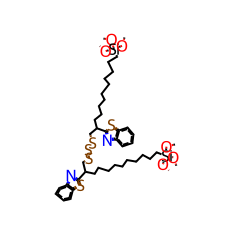 CO[Si](CCCCCCCCCCC(CSSSCC(CCCCCCCCCC[Si](OC)(OC)OC)c1nc2ccccc2s1)c1nc2ccccc2s1)(OC)OC